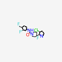 O=C(Nc1ccc(CF)c(F)c1)N1CCC(F)(c2ncccc2Cl)CC1